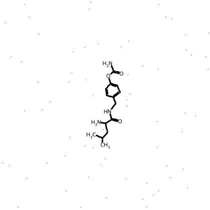 CC(C)CC(N)C(=O)NCc1ccc(OC(N)=O)cc1